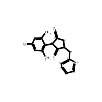 Cc1cc(Br)cc(C)c1C1C(=O)CC(Cc2ccccn2)C1=O